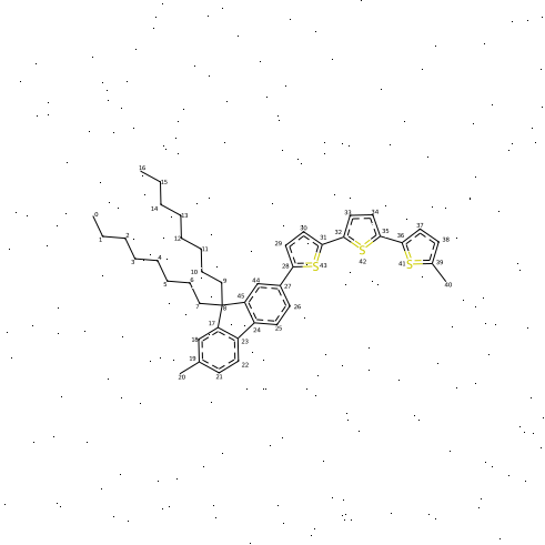 CCCCCCCCC1(CCCCCCCC)c2cc(C)ccc2-c2ccc(-c3ccc(-c4ccc(-c5ccc(C)s5)s4)s3)cc21